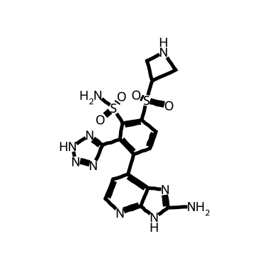 Nc1nc2c(-c3ccc(S(=O)(=O)C4CNC4)c(S(N)(=O)=O)c3-c3nn[nH]n3)ccnc2[nH]1